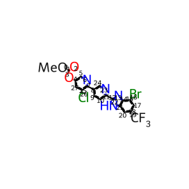 COC(=O)Oc1cnc(-c2ccc(-c3nc4c(Br)cc(C(F)(F)F)cc4[nH]3)nc2)c(Cl)c1